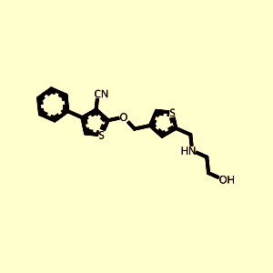 N#Cc1c(-c2ccccc2)csc1OCc1csc(CNCCO)c1